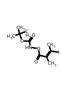 CC(I)=C(C)C(=O)ONC(=O)OC(C)(C)C